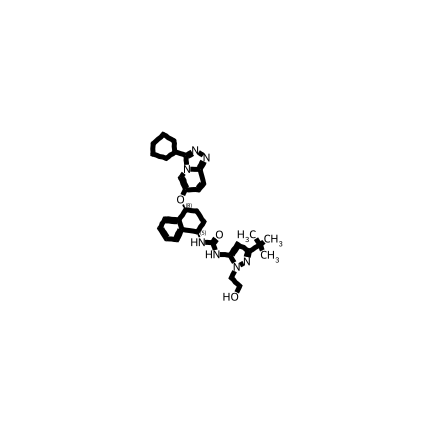 CC(C)(C)c1cc(NC(=O)N[C@H]2CC[C@@H](Oc3ccc4nnc(C5CCCCC5)n4c3)c3ccccc32)n(CCO)n1